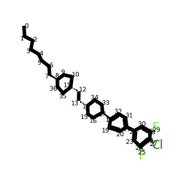 CCCCCCCC[C@H]1CC[C@H](CC[C@H]2CC[C@H](c3ccc(-c4cc(F)c(Cl)c(F)c4)cc3)CC2)CC1